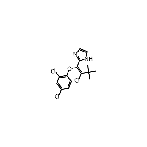 CC(C)(C)C(Cl)=C(Oc1ccc(Cl)cc1Cl)c1ncc[nH]1